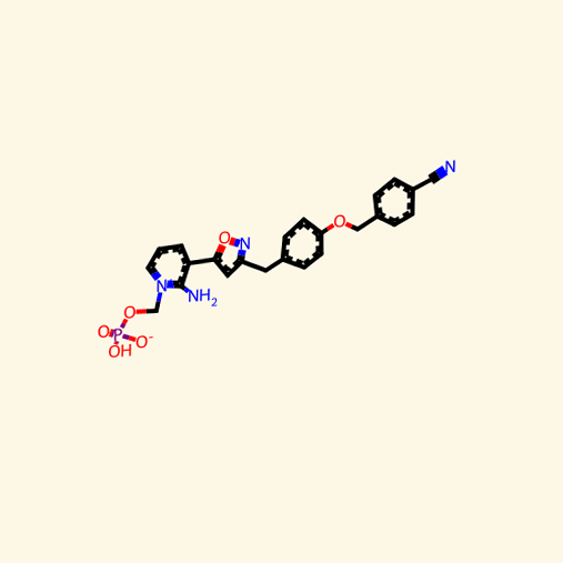 N#Cc1ccc(COc2ccc(Cc3cc(-c4ccc[n+](COP(=O)([O-])O)c4N)on3)cc2)cc1